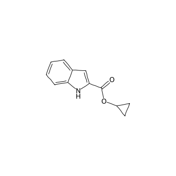 O=C(OC1CC1)c1cc2ccccc2[nH]1